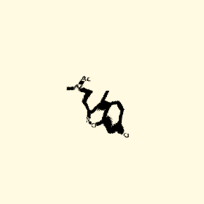 CC(=O)N(C)CCc1noc2cc(=O)ccc-2c1C